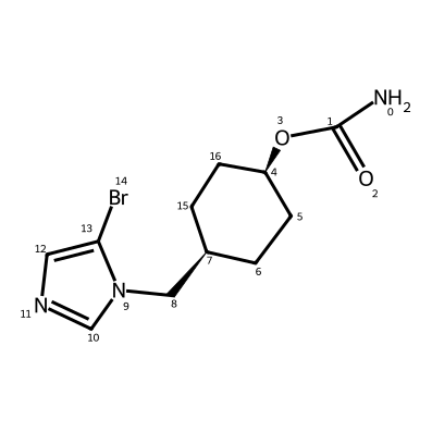 NC(=O)O[C@H]1CC[C@@H](Cn2cncc2Br)CC1